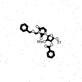 CCO[C@H]1O[C@@H](n2ccc(=O)n(COCc3ccccc3)c2=O)C(OC)[C@H]1OC(=O)c1ccccc1